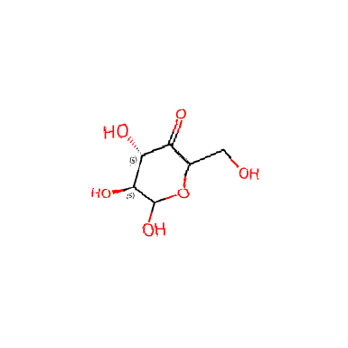 O=C1C(CO)OC(O)[C@@H](O)[C@@H]1O